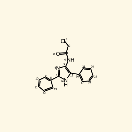 O=C(CCl)Nc1nc(-c2ccccc2)[nH]c1-c1ccccc1